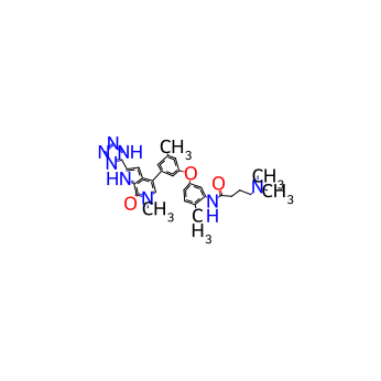 Cc1cc(Oc2ccc(C)c(NC(=O)CCCN(C)C)c2)cc(-c2cn(C)c(=O)c3[nH]c(-c4nnn[nH]4)cc23)c1